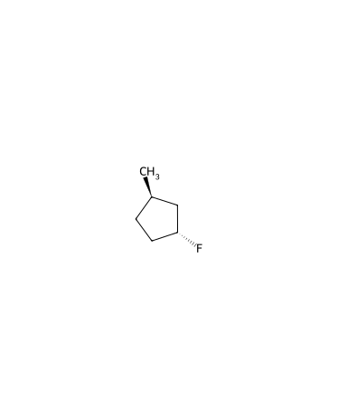 C[C@@H]1CC[C@@H](F)C1